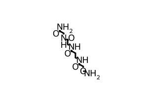 NOCC(=O)NCCC(=O)NCC(=O)NCC(N)=O